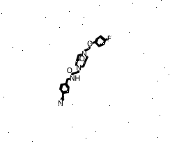 N#Cc1ccc(CNC(=O)CN2CC3CN(CCOc4ccc(F)cc4)CC(C2)O3)cc1